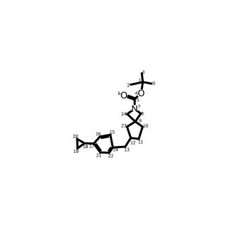 CC(C)(C)OC(=O)N1CC2(CCC(Cc3ccc(C4CC4)cc3)C2)C1